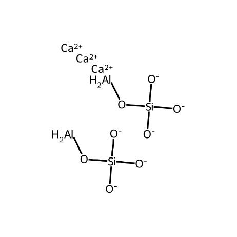 [Ca+2].[Ca+2].[Ca+2].[O-][Si]([O-])([O-])[O][AlH2].[O-][Si]([O-])([O-])[O][AlH2]